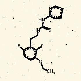 CCOc1ccc(F)c(CCNC(=S)Nc2ccccn2)c1F